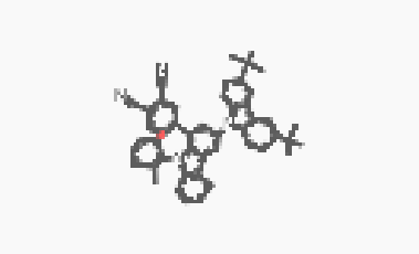 Cc1cccc(C)c1-n1c2ccccc2c2cc(-n3c4ccc(C(C)(C)C)cc4c4cc(C(C)(C)C)ccc43)cc(-c3ccc(C#N)c(C#N)c3)c21